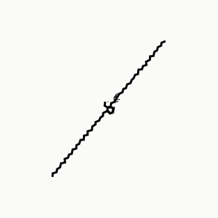 [CH2]Cc1c(CCCCCCCCCCCCCCCCCCCCCCCCCCCC)cccc1CCCCCCCCCCCCCCCCCCCCCCCCCCCC